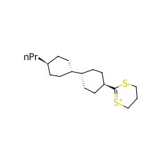 CCC[C@H]1CC[C@H]([C@H]2CC[C@H](C3=[S+]CCCS3)CC2)CC1